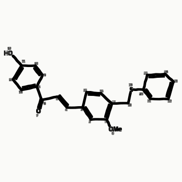 COc1cc(/C=C/C(=O)c2ccc(O)cc2)ccc1CSc1ccccc1